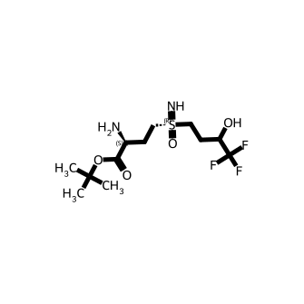 CC(C)(C)OC(=O)[C@@H](N)CC[S@@](=N)(=O)CCC(O)C(F)(F)F